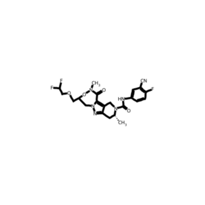 C[C@@H]1Cc2nn3c(c2CN1C(=O)Nc1ccc(F)c(C#N)c1)C(=O)N(C)OC(COCC(F)F)C3